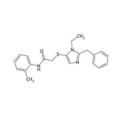 CCn1c(SCC(=O)Nc2ccccc2C)cnc1Cc1ccccc1